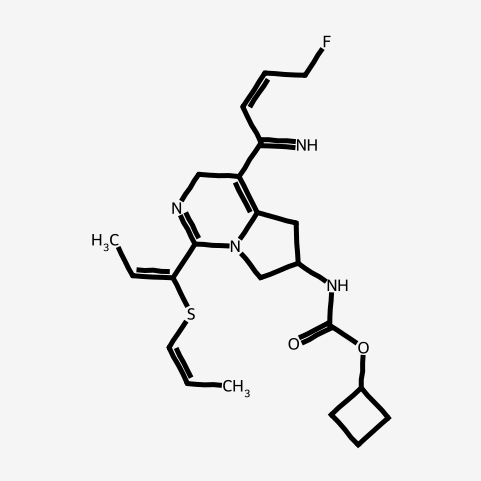 C/C=C\S/C(=C/C)C1=NCC(C(=N)/C=C\CF)=C2CC(NC(=O)OC3CCC3)CN12